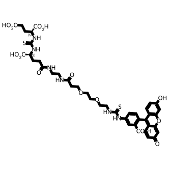 O=C(O)CC[C@H](NC(=S)N[C@@H](CCC(=O)NCCNC(=O)CCOCCOCCNC(=S)Nc1ccc(-c2c3ccc(=O)cc-3oc3cc(O)ccc23)c(C(=O)O)c1)C(=O)O)C(=O)O